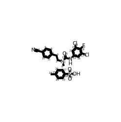 CN(CCc1ccc(C#N)cc1)C(=O)Nc1cc(Cl)c(F)c(Cl)c1.Cc1ccc(S(=O)(=O)O)cc1